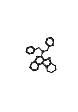 c1ccc(CN(Cc2ccccc2)c2nc3ccccc3c3c2nc2n3CCCC2)cc1